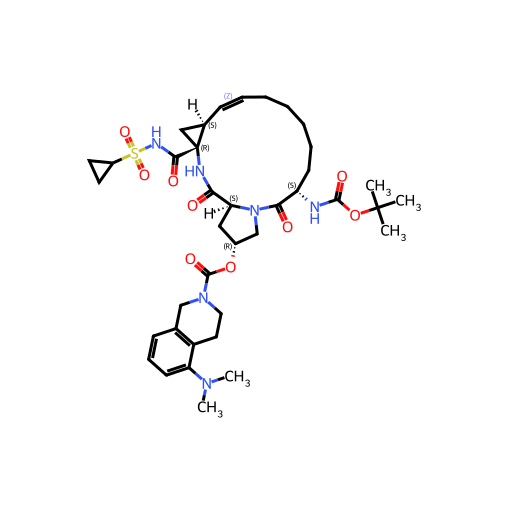 CN(C)c1cccc2c1CCN(C(=O)O[C@@H]1C[C@H]3C(=O)N[C@]4(C(=O)NS(=O)(=O)C5CC5)C[C@H]4/C=C\CCCCC[C@H](NC(=O)OC(C)(C)C)C(=O)N3C1)C2